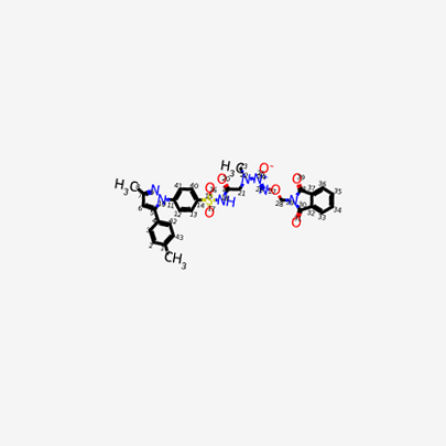 Cc1ccc(-c2cc(C)nn2-c2ccc(S(=O)(=O)NC(=O)CN(C)/[N+]([O-])=N/OCN3C(=O)c4ccccc4C3=O)cc2)cc1